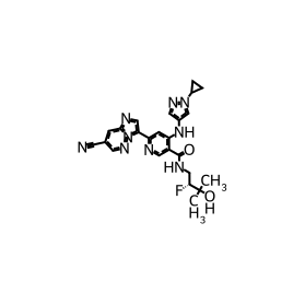 CC(C)(O)[C@H](F)CNC(=O)c1cnc(-c2cnc3cc(C#N)cnn23)cc1Nc1cnn(C2CC2)c1